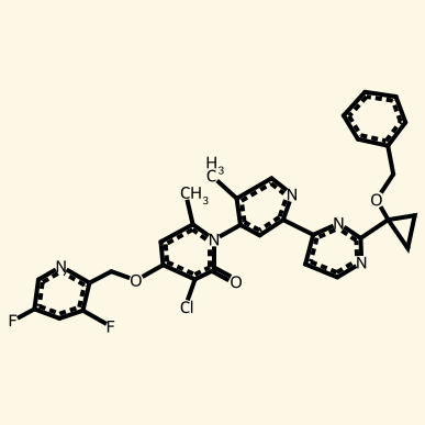 Cc1cnc(-c2ccnc(C3(OCc4ccccc4)CC3)n2)cc1-n1c(C)cc(OCc2ncc(F)cc2F)c(Cl)c1=O